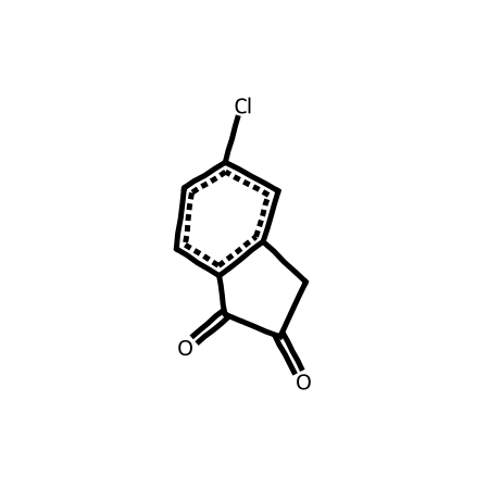 O=C1Cc2cc(Cl)ccc2C1=O